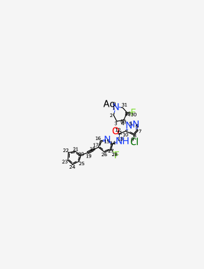 CC(=O)N1CC[C@@H](n2ncc(Cl)c2C(=O)Nc2ncc(C#Cc3ccccc3)cc2F)[C@H](F)C1